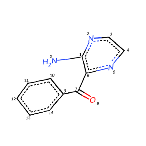 Nc1nccnc1C(=O)c1ccccc1